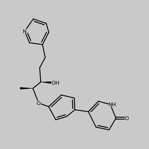 C[C@H](Oc1ccc(-c2ccc(=O)[nH]c2)cc1)[C@H](O)CCc1cccnc1